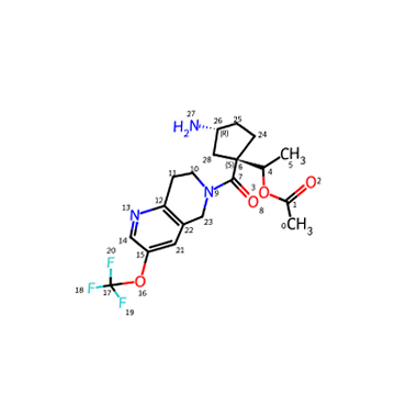 CC(=O)OC(C)[C@]1(C(=O)N2CCc3ncc(OC(F)(F)F)cc3C2)CC[C@@H](N)C1